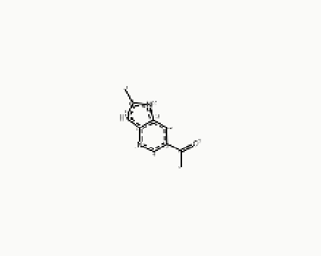 CC(=O)c1cnc2[nH]c(C)nc2c1